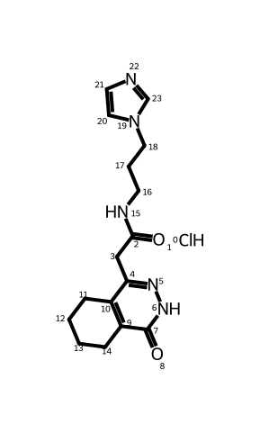 Cl.O=C(Cc1n[nH]c(=O)c2c1CCCC2)NCCCn1ccnc1